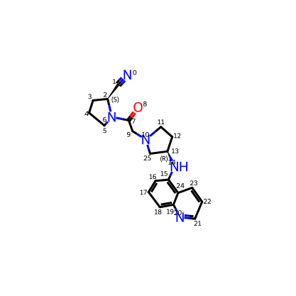 N#C[C@@H]1CCCN1C(=O)CN1CC[C@@H](Nc2cccc3ncccc23)C1